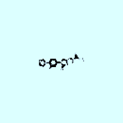 CC(=O)NC[C@H]1CN(c2ccc(N3CCSC3)c(F)c2)C(=O)O1